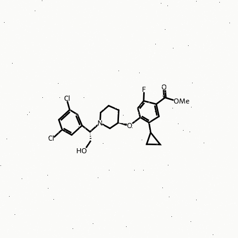 COC(=O)c1cc(C2CC2)c(O[C@@H]2CCCN([C@H](CO)c3cc(Cl)cc(Cl)c3)C2)cc1F